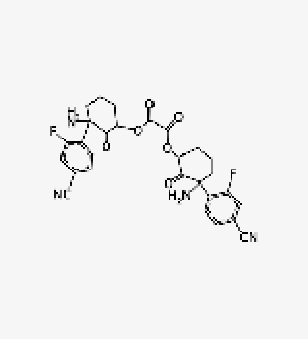 N#Cc1ccc(C2(N)CCCC(OC(=O)C(=O)OC3CCCC(N)(c4ccc(C#N)cc4F)C3=O)C2=O)c(F)c1